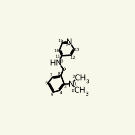 CN(C)c1ccccc1CNc1ccncc1